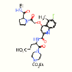 CCNC(=O)C1CCCN1C(=O)COc1cc(C(=O)NC(CCC(=O)O)C(=O)N2CCN(C(=O)OCC)CC2)nc2ccc(F)c(C)c12